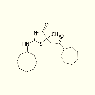 CC1(CC(=O)C2CCCCCC2)SC(NC2CCCCCCC2)=NC1=O